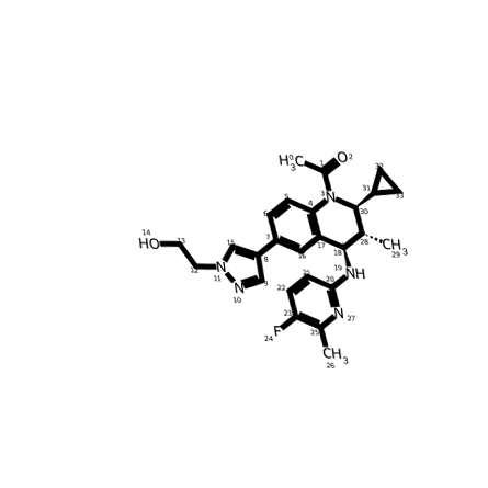 CC(=O)N1c2ccc(-c3cnn(CCO)c3)cc2[C@H](Nc2ccc(F)c(C)n2)[C@@H](C)[C@@H]1C1CC1